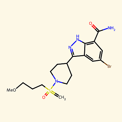 C=S(=O)(CCCOC)N1CCC(c2n[nH]c3c(C(N)=O)cc(Br)cc23)CC1